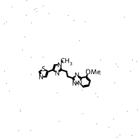 COc1cccn2nc(CCc3nc(-c4cncs4)cn3C)nc12